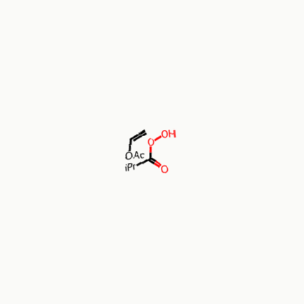 C=COC(C)=O.CC(C)C(=O)OO